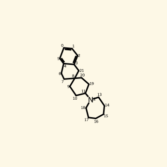 c1ccc2c(c1)CCC1(CCC(N3CCCCCC3)CC1)C2